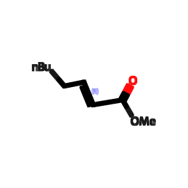 CCCCC/C=C/C(=O)OC